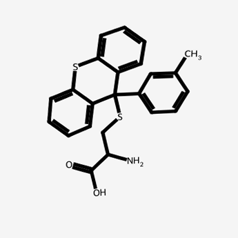 Cc1cccc(C2(SCC(N)C(=O)O)c3ccccc3Sc3ccccc32)c1